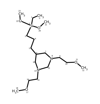 CC[Si](CCCC1CN(CCOC)CN(CCOC)C1)(OC)OC